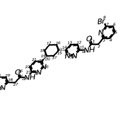 O=C(Cc1cccc(Br)n1)Nc1ccc([C@H]2CCC[C@H](c3ccc(NC(=O)Cc4cccc(Br)n4)nn3)C2)nn1